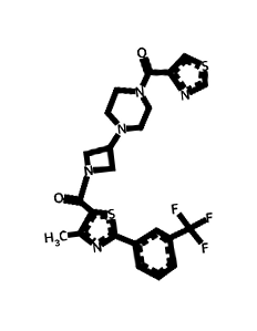 Cc1nc(-c2cccc(C(F)(F)F)c2)sc1C(=O)N1CC(N2CCN(C(=O)c3cscn3)CC2)C1